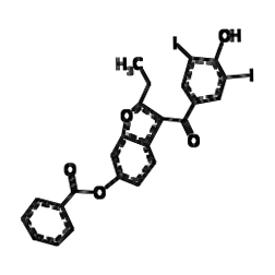 CCc1oc2cc(OC(=O)c3ccccc3)ccc2c1C(=O)c1cc(I)c(O)c(I)c1